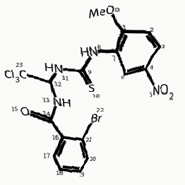 COc1ccc([N+](=O)[O-])cc1NC(=S)NC(NC(=O)c1ccccc1Br)C(Cl)(Cl)Cl